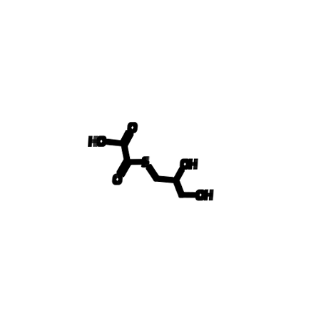 O=C(O)C(=O)SCC(O)CO